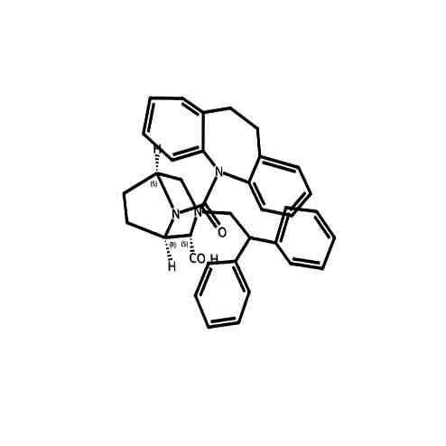 O=C(O)[C@@H]1[C@H]2CC[C@@H](CN1CC(c1ccccc1)c1ccccc1)N2C(=O)N1c2ccccc2CCc2ccccc21